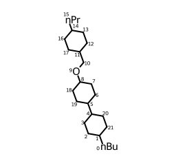 CCCCC1CCC(C2CCC(OCC3CCC(CCC)CC3)CC2)CC1